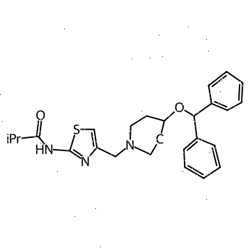 CC(C)C(=O)Nc1nc(CN2CCC(OC(c3ccccc3)c3ccccc3)CC2)cs1